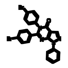 O=c1c2cnn(-c3ccccc3)c2nc(-c2ccc(Br)cc2)n1-c1ccc(Br)cc1